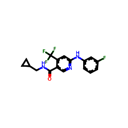 O=C(NCC1CC1)c1cnc(Nc2cccc(F)c2)cc1C(F)(F)F